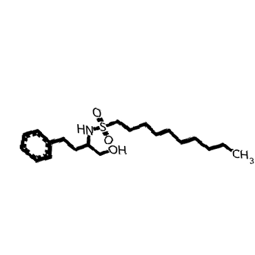 CCCCCCCCCCS(=O)(=O)NC(CO)CCc1ccccc1